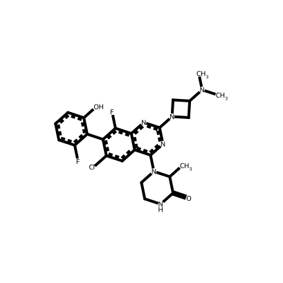 CC1C(=O)NCCN1c1nc(N2CC(N(C)C)C2)nc2c(F)c(-c3c(O)cccc3F)c(Cl)cc12